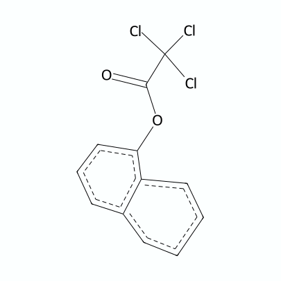 O=C(Oc1cccc2ccccc12)C(Cl)(Cl)Cl